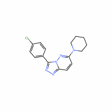 Clc1ccc(-c2nnc3ccc(N4CCCCC4)nn23)cc1